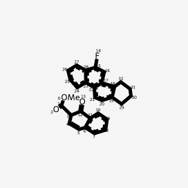 COC(=O)C1C=Cc2ccccc2C1=O.Fc1cc2c3c(ccc2c2ccccc12)CCCC3